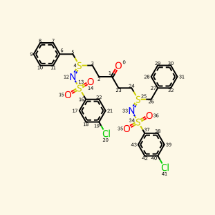 O=C(CCS(Cc1ccccc1)=NS(=O)(=O)c1ccc(Cl)cc1)CCS(Cc1ccccc1)=NS(=O)(=O)c1ccc(Cl)cc1